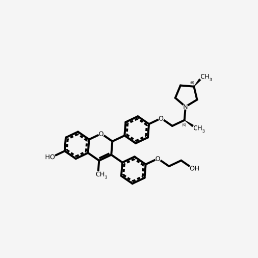 CC1=C(c2cccc(OCCO)c2)C(c2ccc(OC[C@H](C)N3CC[C@@H](C)C3)cc2)Oc2ccc(O)cc21